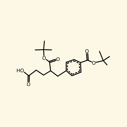 CC(C)(C)OC(=O)c1ccc(CC(CCC(=O)O)C(=O)OC(C)(C)C)cc1